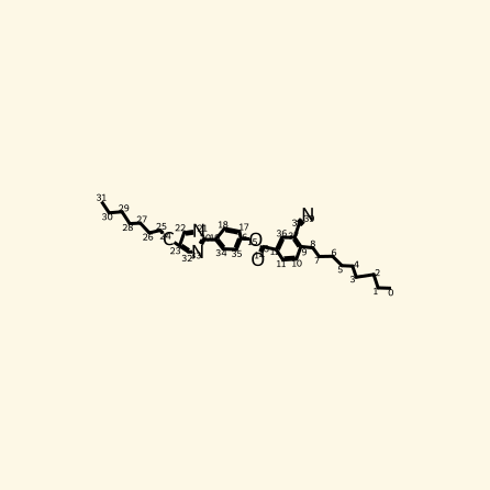 CCCCCCCCCc1ccc(C(=O)Oc2ccc(-c3ncc(CCCCCCCC)cn3)cc2)cc1C#N